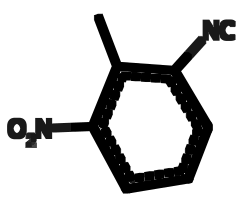 [C-]#[N+]c1cccc([N+](=O)[O-])c1C